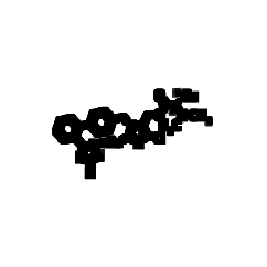 CCCCc1nc(Cl)c(COC(=O)[C@@H]([C@@H](C)CC)N(C)C)n1Cc1ccc(-c2ccccc2-c2nn[nH]n2)cc1